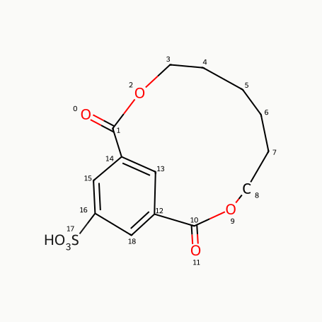 O=C1OCCCCCCOC(=O)c2cc1cc(S(=O)(=O)O)c2